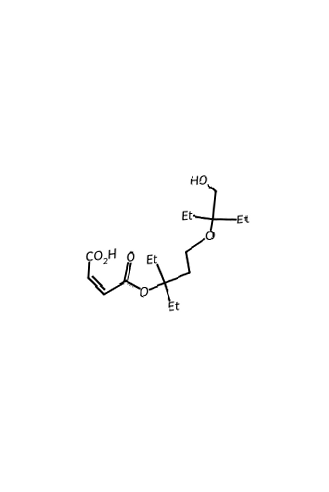 CCC(CC)(CO)OCCC(CC)(CC)OC(=O)/C=C\C(=O)O